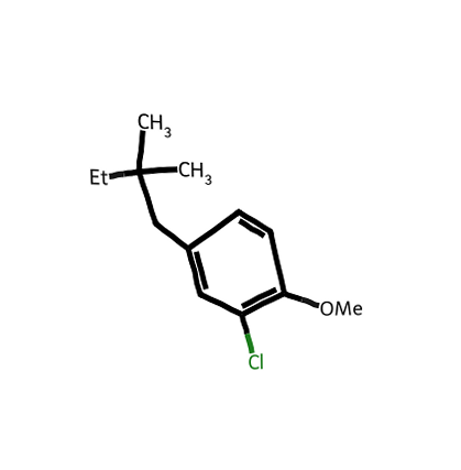 CCC(C)(C)Cc1ccc(OC)c(Cl)c1